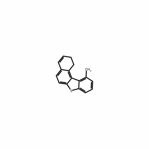 Cc1cccc2sc3ccc4c(c3c12)CCC=C4